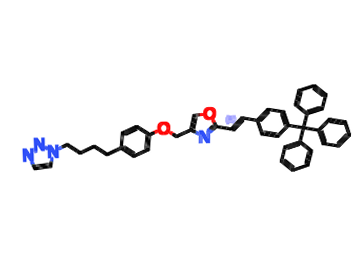 C(=C\c1nc(COc2ccc(CCCCn3ccnn3)cc2)co1)/c1ccc(C(c2ccccc2)(c2ccccc2)c2ccccc2)cc1